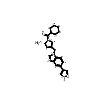 C[C@H]1CC(Cn2cnc3cc(-c4cn[nH]c4)ccc32)CN1C(=O)C1CCCCC1